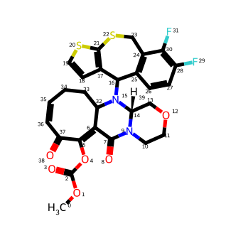 COC(=O)O/C1=C2\C(=O)N3CCOC[C@H]3N(C3c4ccsc4SCc4c3ccc(F)c4F)C2CC/C=C\C1=O